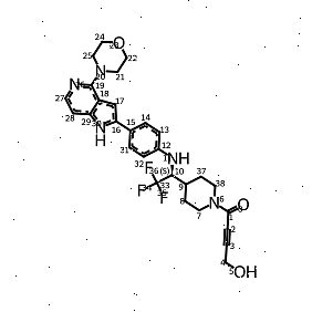 O=C(C#CCO)N1CCC([C@H](Nc2ccc(-c3cc4c(N5CCOCC5)nccc4[nH]3)cc2)C(F)(F)F)CC1